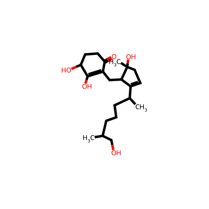 CC(CO)CCCC(C)C1=CCC(C)(O)C1CC1=C(O)C(O)CCC1=O